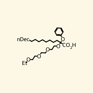 CCCCCCCCCCCCCCCCCCC(OCCOCCOCCOCC)(Oc1ccccc1)C(=O)O